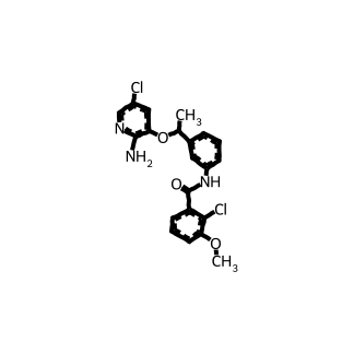 COc1cccc(C(=O)Nc2cccc(C(C)Oc3cc(Cl)cnc3N)c2)c1Cl